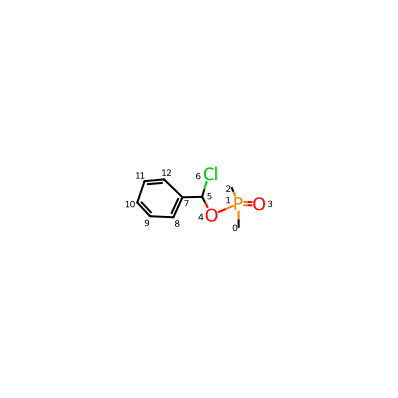 CP(C)(=O)OC(Cl)c1ccccc1